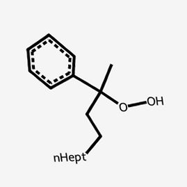 CCCCCCCCCC(C)(OO)c1ccccc1